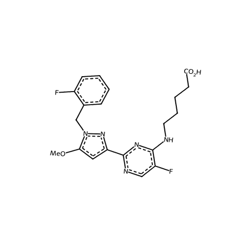 COc1cc(-c2ncc(F)c(NCCCCC(=O)O)n2)nn1Cc1ccccc1F